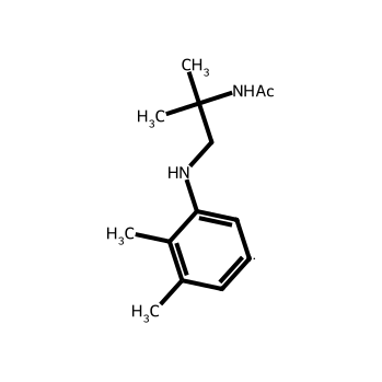 CC(=O)NC(C)(C)CNc1c[c]cc(C)c1C